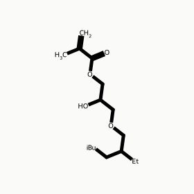 C=C(C)C(=O)OCC(O)COCC(CC)CC(C)CC